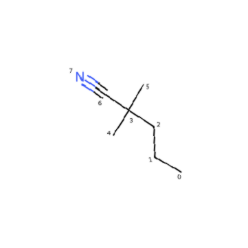 CCCC(C)(C)C#N